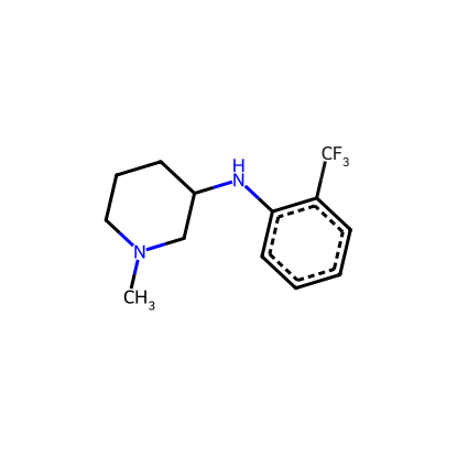 CN1CCCC(Nc2ccccc2C(F)(F)F)C1